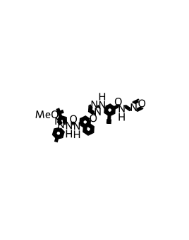 C#Cc1cc(Nc2nccc(Oc3ccc(NC(=O)Nc4cc(C(C)(C)OC)nn4-c4ccc(C)cc4)c4ccccc34)n2)cc(C(=O)NCCN2CCOCC2)c1